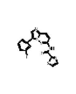 O=C(Nc1ccc2ncc(-c3cccc(Cl)c3)n2n1)c1nccs1